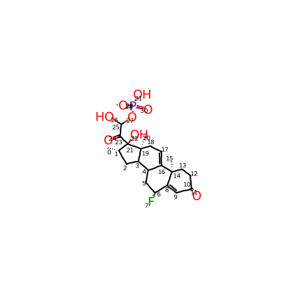 C[C@H]1CC2C3C[C@H](F)C4=CC(=O)CC[C@]4(C)C3=CC[C@]2(C)[C@@]1(O)C(=O)C(O)OP([O])(=O)O